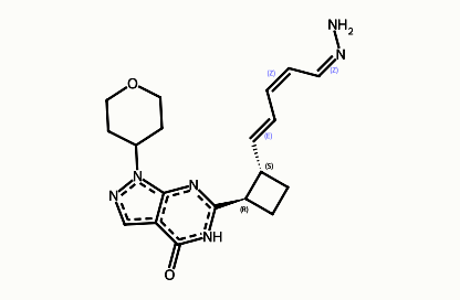 N\N=C/C=C\C=C\[C@@H]1CC[C@H]1c1nc2c(cnn2C2CCOCC2)c(=O)[nH]1